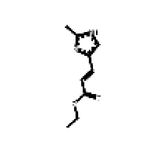 CCOC(=O)C=Cc1c[nH]c(C)n1